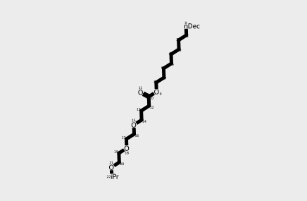 CCCCCCCCCCCCCCCCCCOC(=O)CCCOCCOCCOC(C)C